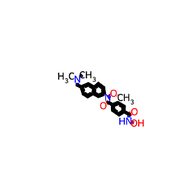 CON(C(=O)c1ccc(C(=O)NO)cc1)c1ccc2cc(CN(C)C)ccc2c1